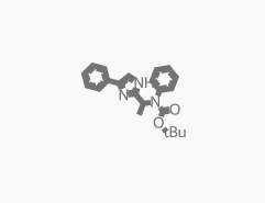 CC(c1nc(-c2ccccc2)c[nH]1)N(C(=O)OC(C)(C)C)c1ccccc1